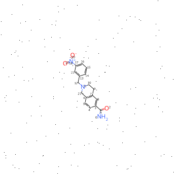 NC(=O)c1ccc2c(c1)CCN(Cc1cccc([N+](=O)[O-])c1)C2